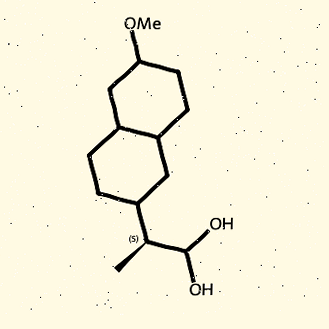 COC1CCC2CC([C@H](C)C(O)O)CCC2C1